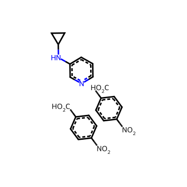 O=C(O)c1ccc([N+](=O)[O-])cc1.O=C(O)c1ccc([N+](=O)[O-])cc1.c1cncc(NC2CC2)c1